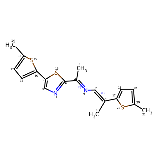 C/C(=C\N=C(/C)c1ncc(-c2ccc(C)s2)s1)c1ccc(C)s1